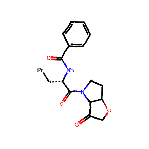 CC(C)C[C@H](NC(=O)c1ccccc1)C(=O)N1CCC2OCC(=O)C21